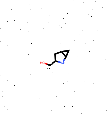 OCC1CC2CC2N1